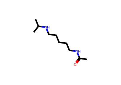 CC(=O)NCCCCCNC(C)C